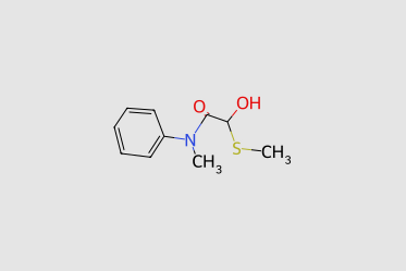 CSC(O)C(=O)N(C)c1ccccc1